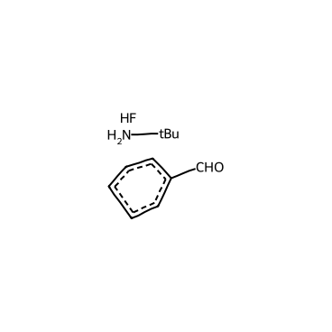 CC(C)(C)N.F.O=Cc1ccccc1